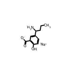 CCCC(N)c1ccc(O)c(C(=O)[O-])c1.[Na+]